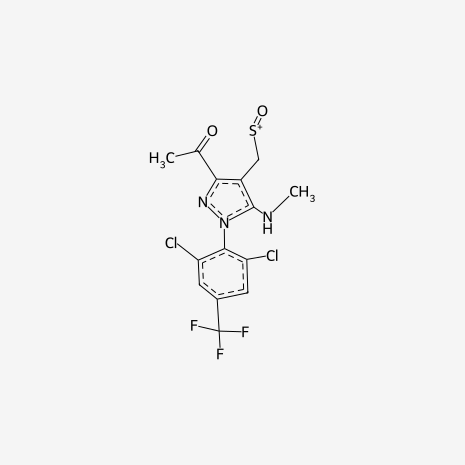 CNc1c(C[S+]=O)c(C(C)=O)nn1-c1c(Cl)cc(C(F)(F)F)cc1Cl